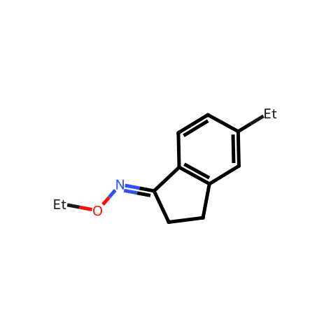 CCO/N=C1\CCc2cc(CC)ccc21